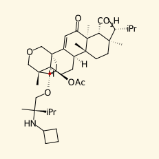 CC(=O)O[C@@H]1C[C@@]23COC[C@](C)([C@@H]2CC[C@H]2C3=CC(=O)[C@@]3(C)[C@H](C(=O)O)[C@@](C)([C@H](C)C(C)C)CC[C@]23C)[C@H]1OC[C@@](C)(NC1CCC1)C(C)C